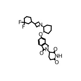 O=C1CCC(N2Cc3cc(O[C@H]4CCCC[C@@H]4N4CC(C5CCCC(F)(F)C5)C4)ccc3C2=O)C(=O)N1